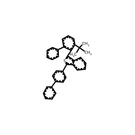 CC(C)(C)c1cccc(-c2ccccc2)c1-c1sc(-c2ccc(-c3ccccc3)cc2)c2ccccc12